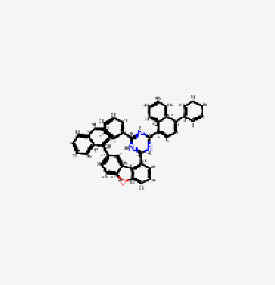 C1=CC(c2ccc(-c3nc(-c4ccccc4)nc(-c4cccc5oc6ccc(-c7cccc8ccccc78)cc6c45)n3)c3ccccc23)=CCC1